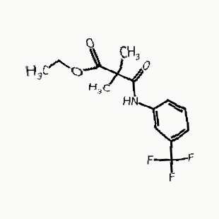 CCOC(=O)C(C)(C)C(=O)Nc1cccc(C(F)(F)F)c1